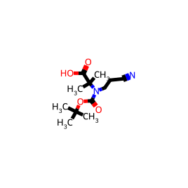 CC(C)(C)OC(=O)N(CCC#N)C(C)(C)C(=O)O